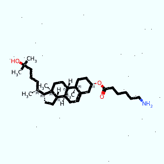 C[C@H](CCCC(C)(C)O)[C@H]1CC[C@H]2[C@@H]3CC=C4C[C@@H](OC(=O)CCCCCN)CC[C@]4(C)[C@H]3CC[C@]12C